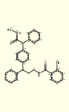 O=C(NCCC(c1ccccc1)c1ccc(C(C(=O)NO)c2ccccc2)cc1)c1ccccc1O